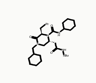 CCCCNC(=O)C[C@@H]1CN(CC2CCCCC2)C(=O)[C@@H](CC(C)C)N1C(=O)NC1CCCCC1